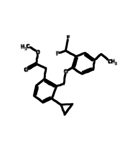 CCc1ccc(OCc2c(CC(=O)OC)cccc2C2CC2)c(C(F)F)c1